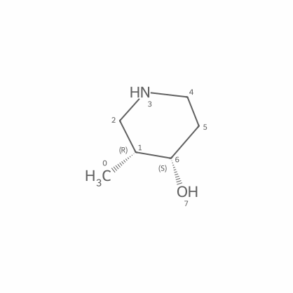 C[C@@H]1CNCC[C@@H]1O